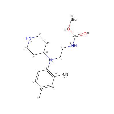 Cc1ccc(N(CCNC(=O)OC(C)(C)C)C2CCNCC2)c(C#N)c1